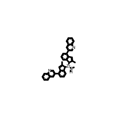 CC1=Cc2c(-c3cnc4ccccc4c3)cccc2[CH]1[Zr]([CH]1C(C)=Cc2c(-c3cnc4ccccc4c3)cccc21)[SiH](C)C